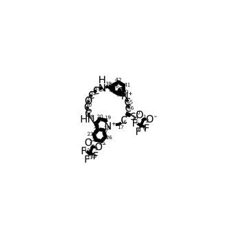 O=C([O-])C(F)(F)F.O=C([O-])C(F)(F)F.S=C1CC[n+]2ccc(c3ccccc32)NCCOCCNc2cc[n+](c3ccccc23)CC1